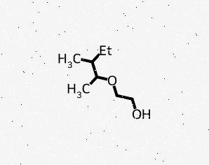 CCC(C)C(C)OCCO